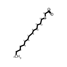 CCCCCCCCCCCCCCSCC([O])=O